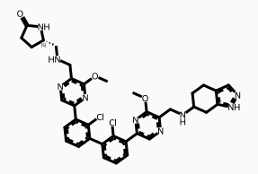 COc1nc(-c2cccc(-c3cccc(-c4cnc(CNC5CCc6cn[nH]c6C5)c(OC)n4)c3Cl)c2Cl)cnc1CNC[C@@H]1CCC(=O)N1